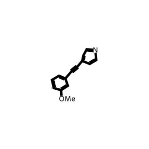 COc1[c]ccc(C#Cc2ccncc2)c1